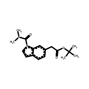 CN(C)C(=O)n1ccc2ccc(CC(=O)OC(C)(C)C)cc21